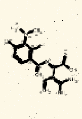 C=CC(=C(N)N)/C(=N\C(=C)c1ccc(Cl)c(N(C)C)c1F)C(=O)O